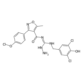 Cc1onc(-c2ccc(OCl)cc2)c1C(=O)/N=C(\NN)NCc1cc(Cl)c(O)c(Cl)c1